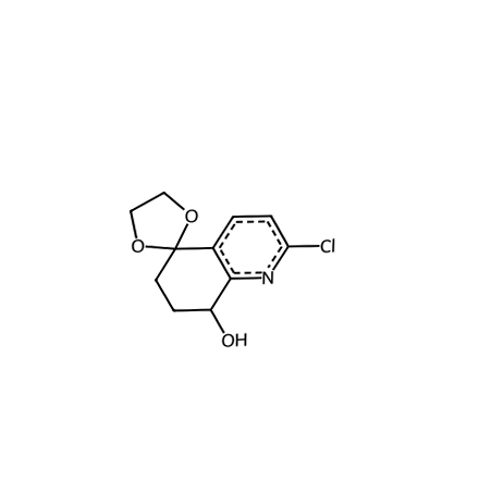 OC1CCC2(OCCO2)c2ccc(Cl)nc21